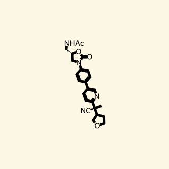 CC(=O)NC[C@H]1CN(c2ccc(-c3ccc([C@@](C)(C#N)C4CCOC4)nc3)cc2)C(=O)O1